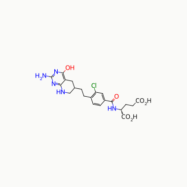 Nc1nc(O)c2c(n1)NCC(CCc1ccc(C(=O)N[C@@H](CCC(=O)O)C(=O)O)cc1Cl)C2